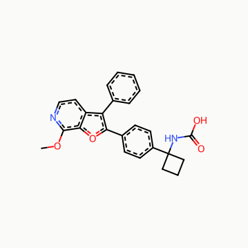 COc1nccc2c(-c3ccccc3)c(-c3ccc(C4(NC(=O)O)CCC4)cc3)oc12